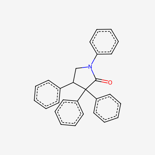 O=C1N(c2ccccc2)CC(c2ccccc2)C1(c1ccccc1)c1ccccc1